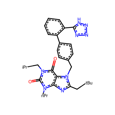 CCCn1c(=O)n(CC(C)C)c(=O)c2c1nc(CC(C)(C)C)n2Cc1ccc(-c2ccccc2-c2nnn[nH]2)cc1